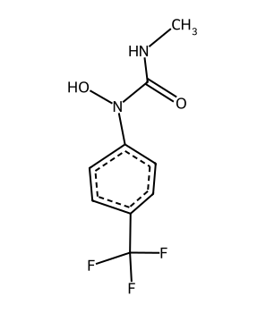 CNC(=O)N(O)c1ccc(C(F)(F)F)cc1